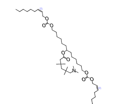 CCCCCC/C=C\COC(=O)OCCCCCCC(CCCCCCOC(=O)OC/C=C\CCCCCC)OC(=O)CC(C)(C)CC(C)(C)CN(C)C